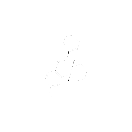 CC(C)(C)c1ccc2c(c1)[C@H]1OCCC[C@H]1[C@H](c1ccccc1)N2